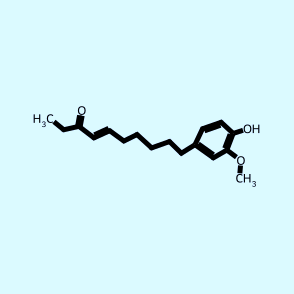 CCC(=O)C=CCCCCCc1ccc(O)c(OC)c1